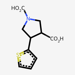 O=C(O)C1CN(C(=O)O)CC1c1cccs1